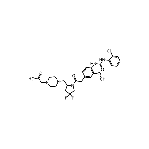 COc1cc(CC(=O)N2CC(F)(F)CC2CN2CCN(CC(=O)O)CC2)ccc1NC(=O)Nc1ccccc1Cl